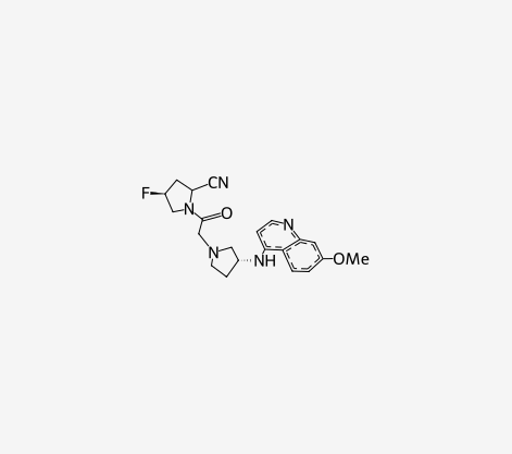 COc1ccc2c(N[C@@H]3CCN(CC(=O)N4C[C@@H](F)CC4C#N)C3)ccnc2c1